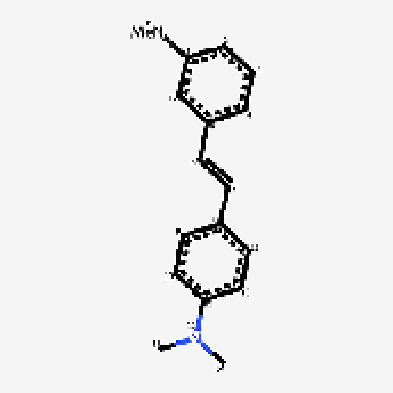 CNc1cccc(/C=C/c2ccc(N(C)C)cc2)c1